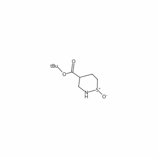 CC(C)(C)OC(=O)C1CC[S+]([O-])NC1